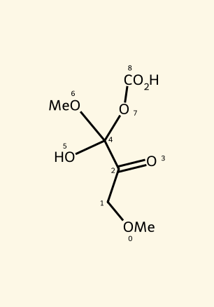 COCC(=O)C(O)(OC)OC(=O)O